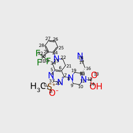 C[S+]([O-])c1nc2c(c(N3CCN(C(=O)O)[C@@H](CC#N)C3)n1)CCN(c1ccccc1C(F)(F)F)C2